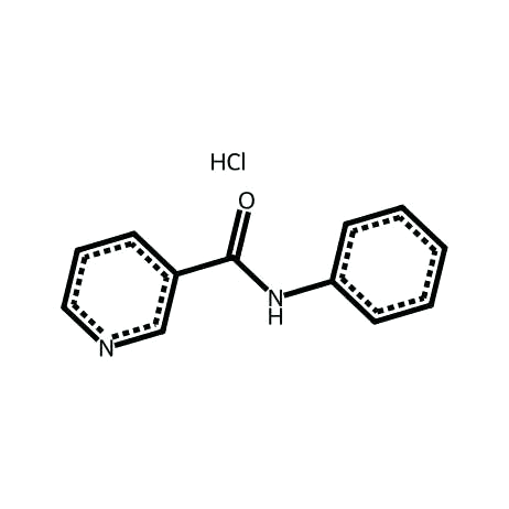 Cl.O=C(Nc1ccccc1)c1cccnc1